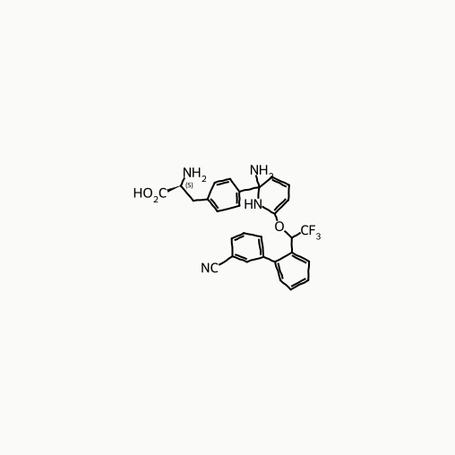 N#Cc1cccc(-c2ccccc2C(OC2=CC=CC(N)(c3ccc(C[C@H](N)C(=O)O)cc3)N2)C(F)(F)F)c1